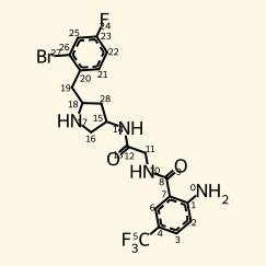 Nc1ccc(C(F)(F)F)cc1C(=O)NCC(=O)NC1CNC(Cc2ccc(F)cc2Br)C1